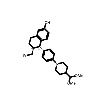 COC(OC)C1CCN(c2ccc([C@H]3c4ccc(O)cc4CC[C@@H]3CC(C)C)cc2)CC1